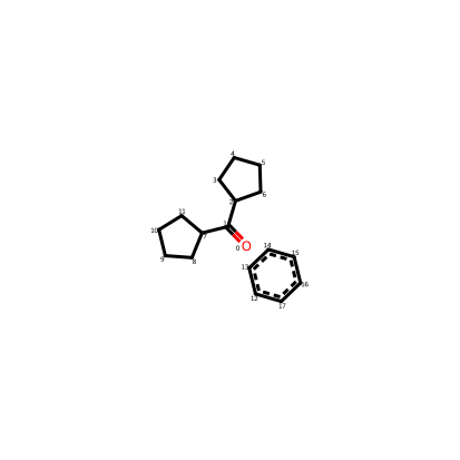 O=C(C1CCCC1)C1CCCC1.c1ccccc1